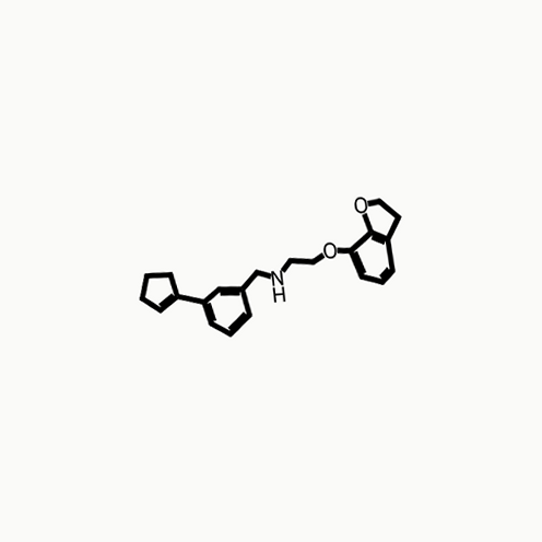 C1=C(c2cccc(CNCCOc3cccc4c3OCC4)c2)CCC1